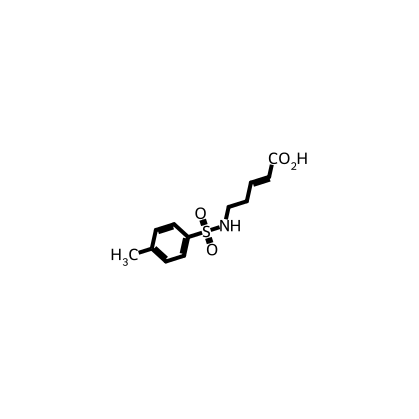 Cc1ccc(S(=O)(=O)NCCC=CC(=O)O)cc1